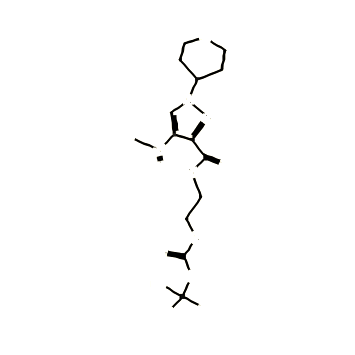 CC(C)(C)OC(=O)NCCNC(=O)c1nn(C2CCOCC2)cc1[N+](=O)[O-]